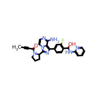 CC#CC(=O)N1CCCC1c1nc(-c2ccc(C(O)Nc3ccccn3)c(F)c2)c2c(N)nccn12